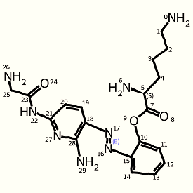 NCCCC[C@H](N)C(=O)Oc1ccccc1/N=N/c1ccc(NC(=O)CN)nc1N